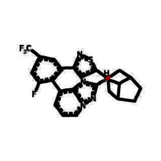 Cc1cc(N2CC3CCC(C2)C3Nc2nc3c(-c4ccc(C(F)(F)F)cc4F)cccn3n2)sn1